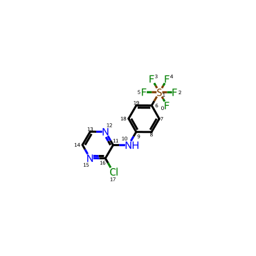 FS(F)(F)(F)(F)c1ccc(Nc2nccnc2Cl)cc1